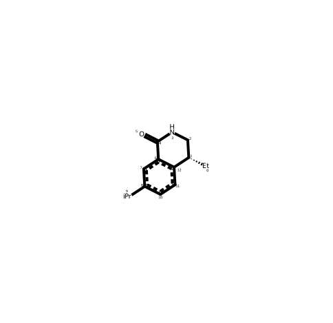 CC[C@H]1CNC(=O)c2cc(C(C)C)ccc21